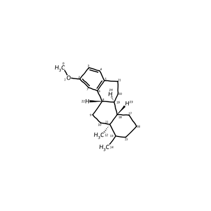 COc1[c]cc2c(c1)[C@H]1CC[C@]3(C)C(C)CCC[C@H]3[C@@H]1CC2